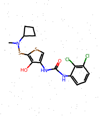 CN(Sc1scc(NC(=O)Nc2cccc(Cl)c2Cl)c1O)C1CCC1